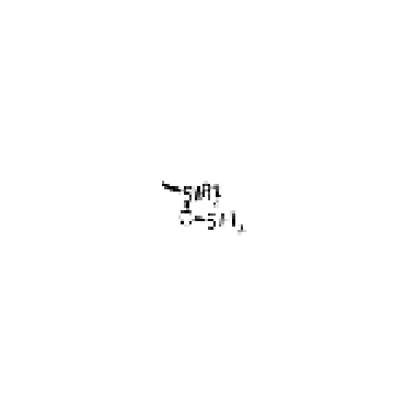 C[SiH2]O[SiH3].[Pt]